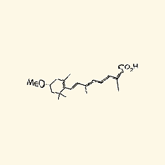 CO[C@@H]1CC(C)=C(/C=C/C(C)=C/C=C/C(C)=C\C(=O)O)C(C)(C)C1